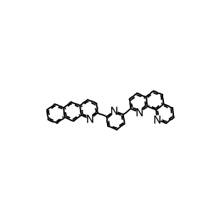 c1cc(-c2ccc3cc4ccccc4cc3n2)nc(-c2ccc3ccc4cccnc4c3n2)c1